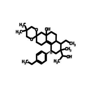 CCc1ccc([C@H]2CC(C)(C(C)O)C(CC)C3CCC4(O)CC5(CCC4=C32)OCC(C)(C)CO5)cc1